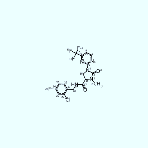 CN1C(=O)N(c2nccc(C(F)(F)F)n2)CC1C(=O)NCc1ccc(F)cc1Cl